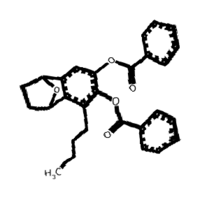 CCCCc1c(OC(=O)c2ccccc2)c(OC(=O)c2ccccc2)cc2c1C1CCC2O1